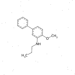 CCCNc1cc(-c2ccccc2)ccc1OC